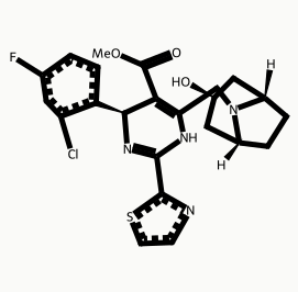 COC(=O)C1=C(CN2[C@@H]3CC[C@H]2C[C@H](O)C3)NC(c2nccs2)=N[C@H]1c1ccc(F)cc1Cl